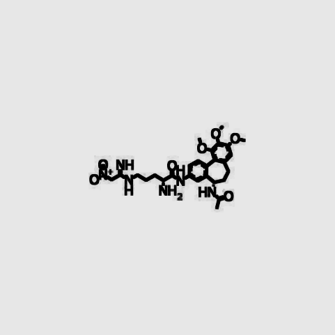 COc1cc2c(c(OC)c1OC)-c1ccc(NC(=O)[C@@H](N)CCCNC(=N)C[N+](=O)[O-])cc1[C@@H](NC(C)=O)CC2